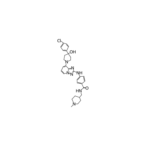 CN1CCC(CNC(=O)c2ccc(Nc3nc4c(N5CCC(O)(c6ccc(Cl)cc6)CC5)cccn4n3)cc2)CC1